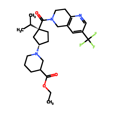 CCOC(=O)C1CCCN([C@H]2CC[C@@](C(=O)N3CCc4ncc(C(F)(F)F)cc4C3)(C(C)C)C2)C1